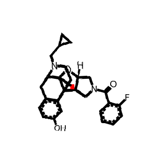 O=C(c1ccccc1F)N1C[C@H]2OC34CCC1C2C31CCN(CC2CC2)C4Cc2ccc(O)cc21